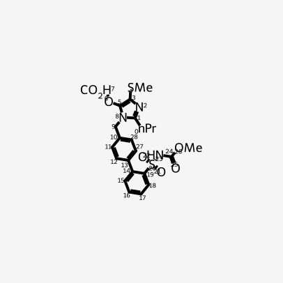 CCCc1nc(SC)c(OC(=O)O)n1Cc1ccc(-c2ccccc2S(=O)(=O)NC(=O)OC)cc1